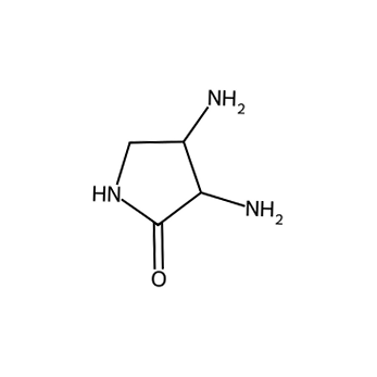 NC1CNC(=O)C1N